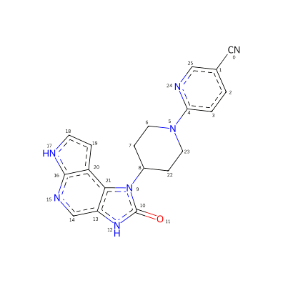 N#Cc1ccc(N2CCC(n3c(=O)[nH]c4cnc5[nH]ccc5c43)CC2)nc1